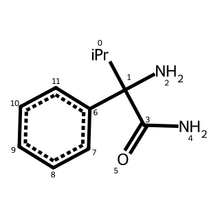 CC(C)C(N)(C(N)=O)c1ccccc1